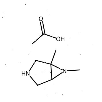 CC(=O)O.CN1C2CNCC21C